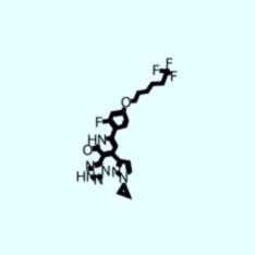 O=c1[nH]c(-c2ccc(OCCCCCC(F)(F)F)cc2F)cc(-c2ccn(C3CC3)n2)c1-c1nn[nH]n1